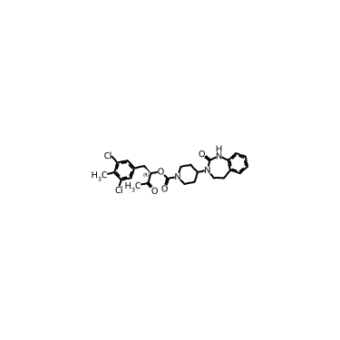 CC(=O)[C@@H](Cc1cc(Cl)c(C)c(Cl)c1)OC(=O)N1CCC(N2CCc3ccccc3NC2=O)CC1